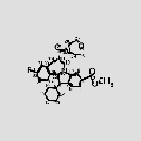 COC(=O)c1ccc2c(C3CCCCC3)c3n(c2c1)CC(C(=O)N1CCOCC1)=Cc1cc(F)ccc1-3